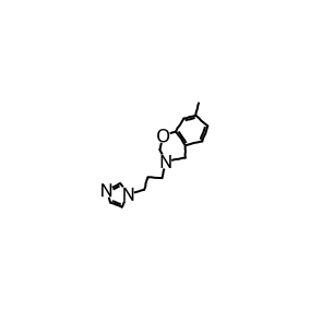 Cc1ccc2c(c1)OCN(CCCn1ccnc1)C2